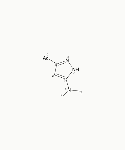 CC(=O)c1cc(N(C)C)[nH]n1